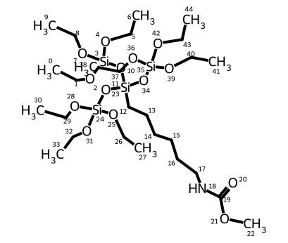 CCO[Si](OCC)(OCC)O[Si](CCCCCCNC(=O)OC)(O[Si](OCC)(OCC)OCC)O[Si](OCC)(OCC)OCC